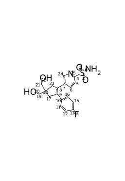 NS(=O)(=O)c1ccc(C2=C(c3ccc(F)cc3)CC(CO)(CO)C2)cn1